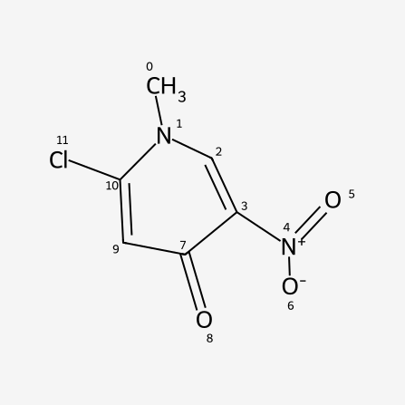 Cn1cc([N+](=O)[O-])c(=O)cc1Cl